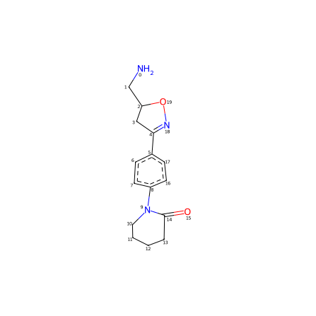 NCC1CC(c2ccc(N3CCCCC3=O)cc2)=NO1